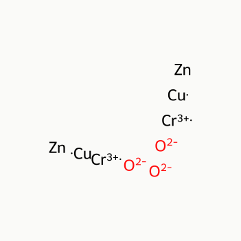 [Cr+3].[Cr+3].[Cu].[Cu].[O-2].[O-2].[O-2].[Zn].[Zn]